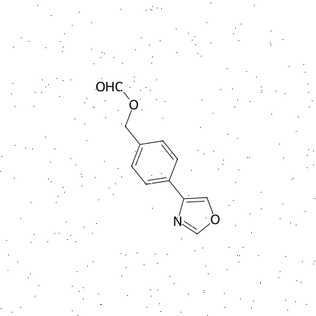 O=COCc1ccc(-c2cocn2)cc1